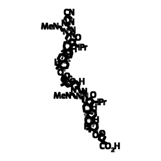 CNCCn1c(C[C@@]23CC[C@]4(C)[C@H](CC[C@@H]5[C@@]6(C)CC[C@H](OC(=O)CC(C)(C)C(=O)O)C(C)(C)[C@@H]6CC[C@]54C)C2=C(C(C)C)C(=O)C3)nnc1-c1ccc(C#N)c(CC(C)(CC(=O)O[C@H]2CC[C@]3(C)[C@H]4CC[C@@H]5C6=C(C(C)C)C(=O)C[C@]6(Cc6nnc(-c7ncc(C#N)cn7)n6CCNC)CC[C@@]5(C)[C@]4(C)CC[C@H]3C2(C)C)C(=O)O)n1